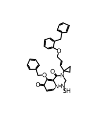 O=C1c2c(OCc3ccccc3)c(=O)ccn2N(S)CN1C1(/C=C/COc2ccccc2Cc2ccccc2)CC1